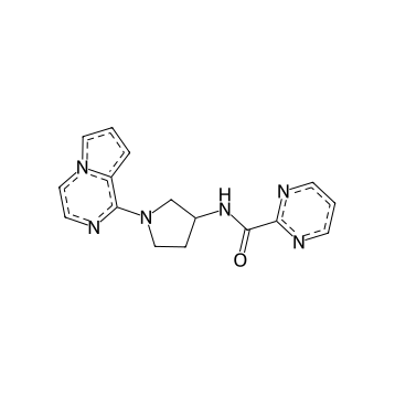 O=C(NC1CCN(c2nccn3cccc23)C1)c1ncccn1